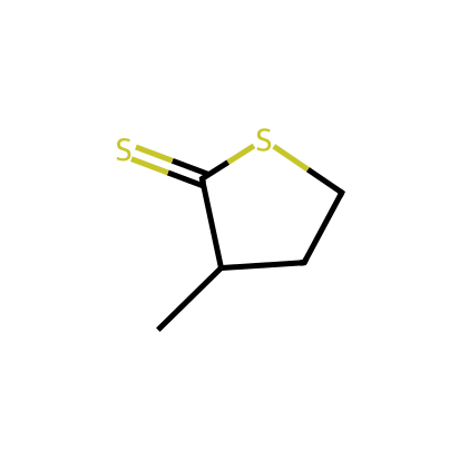 CC1CCSC1=S